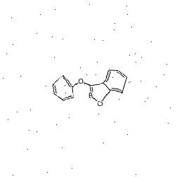 b1oc2ccccc2c1Oc1ccccc1